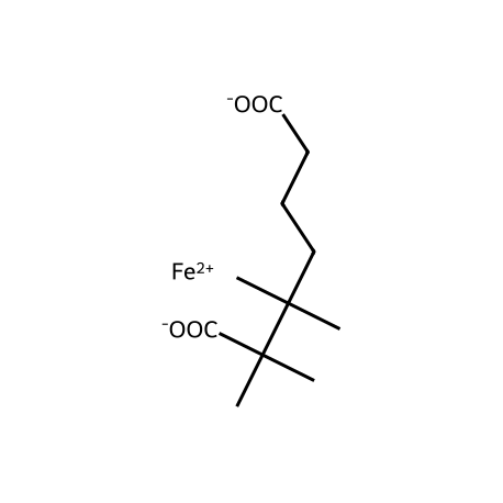 CC(C)(CCCC(=O)[O-])C(C)(C)C(=O)[O-].[Fe+2]